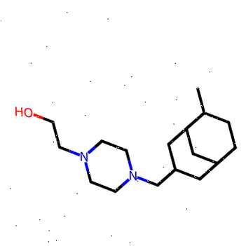 CC1CCC2CC(CN3CCN(CCO)CC3)CC1C2